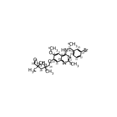 COc1cc2c(N[C@H](C)c3cccc(Br)c3)nc(C)nc2cc1OCC(C)(C)CC(C)(C)C=O